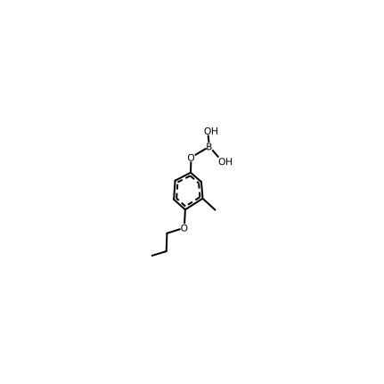 CCCOc1ccc(OB(O)O)cc1C